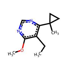 CCc1c(OC)ncnc1C1(C)CC1